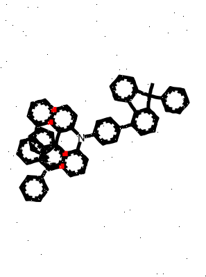 CC1(c2ccccc2)c2ccccc2-c2c(-c3ccc(N(c4ccccc4-c4cccc5cccc(-c6ccccc6)c45)c4cccc5c4c4ccccc4n5-c4ccccc4)cc3)cccc21